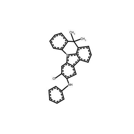 CC1(C)c2ccccc2-n2c3cc(Cl)c(Nc4ccccc4)cc3c3cccc1c32